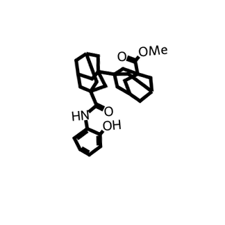 COC(=O)C12CC3CC(C1)CC(C14CC5CC(CC(C(=O)Nc6ccccc6O)(C5)C1)C4)(C3)C2